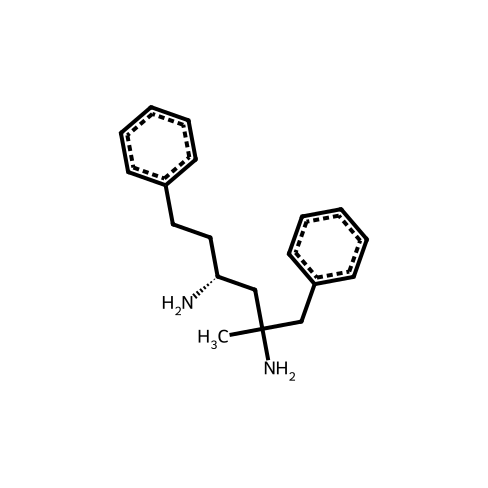 CC(N)(Cc1ccccc1)C[C@H](N)CCc1ccccc1